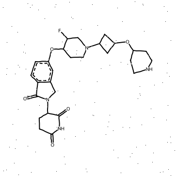 O=C1CCC(N2Cc3cc(OC4CCN(C5CC(OC6CCNCC6)C5)CC4F)ccc3C2=O)C(=O)N1